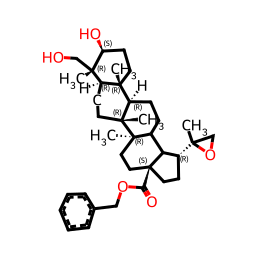 CC1([C@@H]2CC[C@]3(C(=O)OCc4ccccc4)CC[C@]4(C)C(CC[C@@H]5[C@@]6(C)CC[C@H](O)[C@@](C)(CO)[C@@H]6CC[C@]54C)C23)CO1